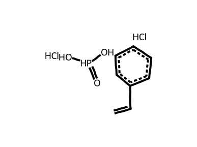 C=Cc1ccccc1.Cl.Cl.O=[PH](O)O